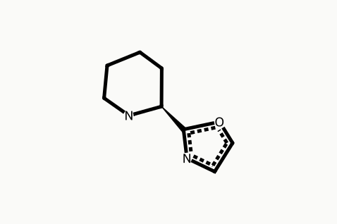 c1coc([C@@H]2CCCC[N]2)n1